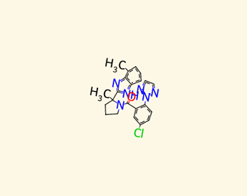 Cc1cccc2[nH]c(C3(C)CCCN3C(=O)c3cc(Cl)ccc3-n3nccn3)nc12